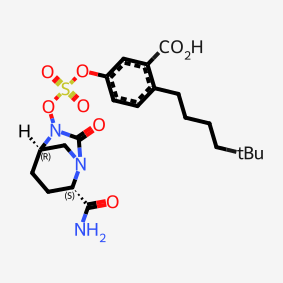 CC(C)(C)CCCCc1ccc(OS(=O)(=O)ON2C(=O)N3C[C@H]2CC[C@H]3C(N)=O)cc1C(=O)O